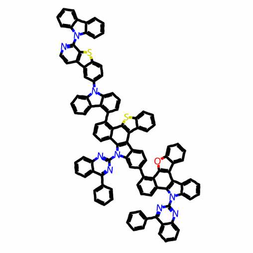 c1ccc(-c2nc(-n3c4ccccc4c4c5c6ccccc6oc5c5c(-c6ccc7c8c9c%10ccccc%10sc9c9c(-c%10cccc%11c%10c%10ccccc%10n%11-c%10ccc%11sc%12c(-n%13c%14ccccc%14c%14ccccc%14%13)nccc%12c%11c%10)cccc9c8n(-c8nc(-c9ccccc9)c9ccccc9n8)c7c6)cccc5c43)nc3ccccc23)cc1